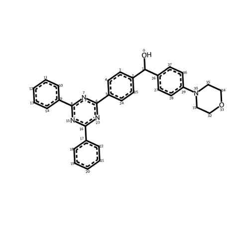 OC(c1ccc(-c2nc(-c3ccccc3)nc(-c3ccccc3)n2)cc1)c1ccc(N2CCOCC2)cc1